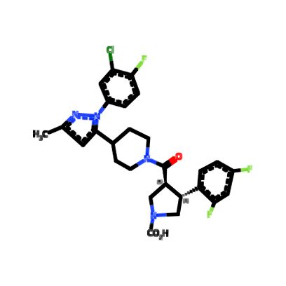 Cc1cc(C2CCN(C(=O)[C@@H]3CN(C(=O)O)C[C@H]3c3ccc(F)cc3F)CC2)n(-c2ccc(F)c(Cl)c2)n1